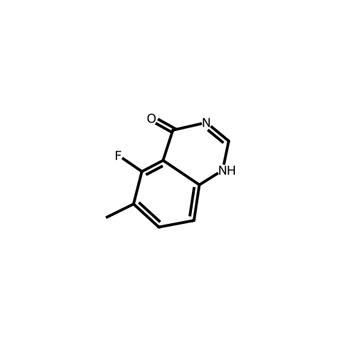 Cc1ccc2[nH]cnc(=O)c2c1F